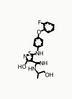 CC(CO)NC(=N)c1c(O)nsc1Nc1ccc(Oc2ccccc2F)cc1